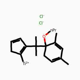 CCCOC1(C(C)(C)C2=[C]([Ti+2])CC=C2)CC=C(C)C=C1C.[Cl-].[Cl-]